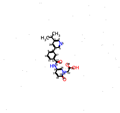 CC(C)c1cncc(-c2cccc(C(=O)Nc3ccc(=O)n(CC(=O)O)c3)c2)c1